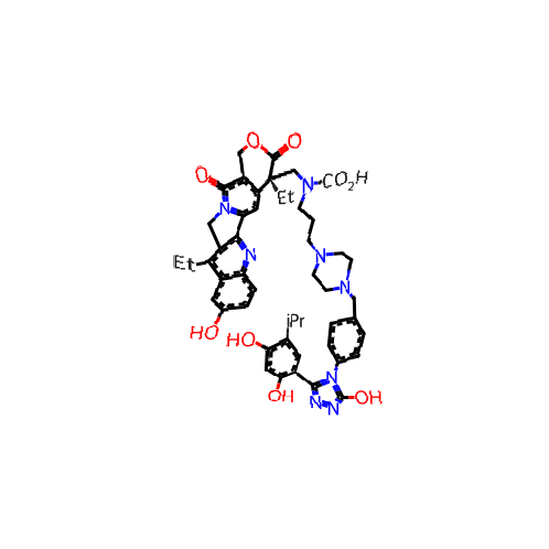 CCc1c2c(nc3ccc(O)cc13)-c1cc3c(c(=O)n1C2)COC(=O)[C@]3(CC)CN(CCCN1CCN(Cc2ccc(-n3c(O)nnc3-c3cc(C(C)C)c(O)cc3O)cc2)CC1)C(=O)O